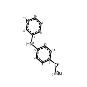 CCCCOc1ccc(Nc2cccnc2)cc1